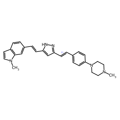 CN1CCN(c2ccc(/C=C/c3cc(C=Cc4ccc5ccn(C)c5c4)[nH]n3)cc2)CC1